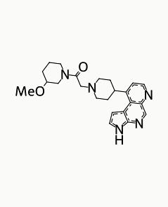 COC1CCCN(C(=O)CN2CCC(c3ccnc4cnc5[nH]ccc5c34)CC2)C1